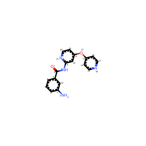 Nc1cccc(C(=O)Nc2cc(Oc3ccncc3)ccn2)c1